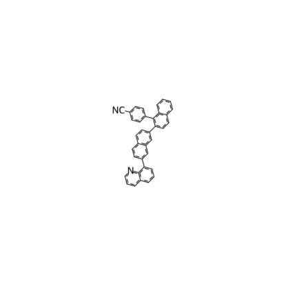 N#Cc1ccc(-c2c(-c3ccc4ccc(-c5cccc6cccnc56)cc4c3)ccc3ccccc23)cc1